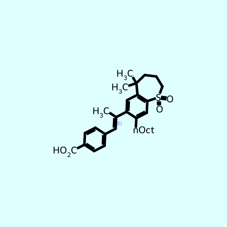 CCCCCCCCc1cc2c(cc1/C(C)=C/c1ccc(C(=O)O)cc1)C(C)(C)CCCS2(=O)=O